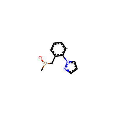 C[S+]([O-])Cc1ccc[c]c1-n1cccn1